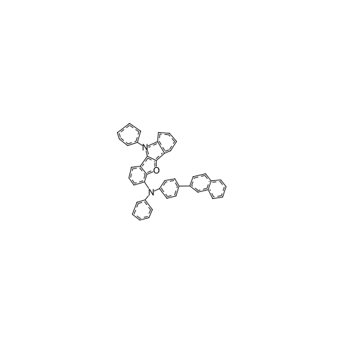 c1ccc(N(c2ccc(-c3ccc4ccccc4c3)cc2)c2cccc3c2oc2c4ccccc4n(-c4ccccc4)c32)cc1